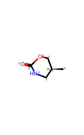 C[C@H]1CNC(=O)OC1